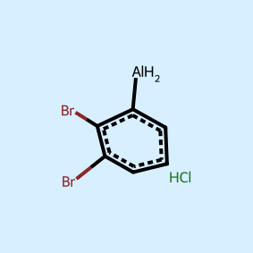 Cl.[AlH2][c]1cccc(Br)c1Br